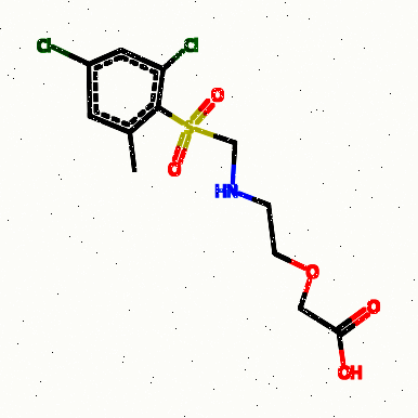 Cc1cc(Cl)cc(Cl)c1S(=O)(=O)CNCCOCC(=O)O